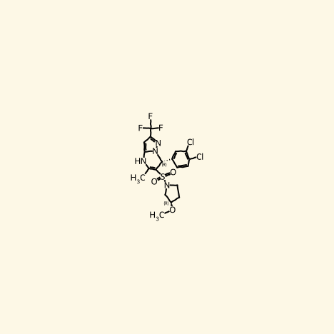 CO[C@@H]1CCN(S(=O)(=O)C2=C(C)Nc3cc(C(F)(F)F)nn3[C@@H]2c2ccc(Cl)c(Cl)c2)C1